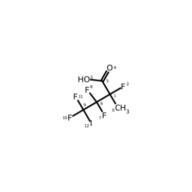 CC(F)(C(=O)O)C(F)(F)C(F)(F)I